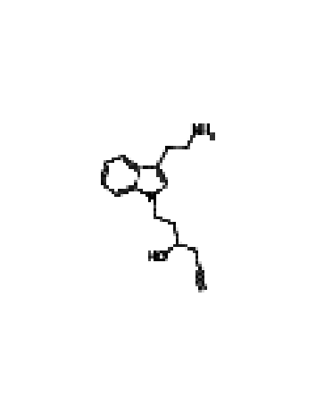 C#CCC(O)CCn1cc(CCN)c2ccccc21